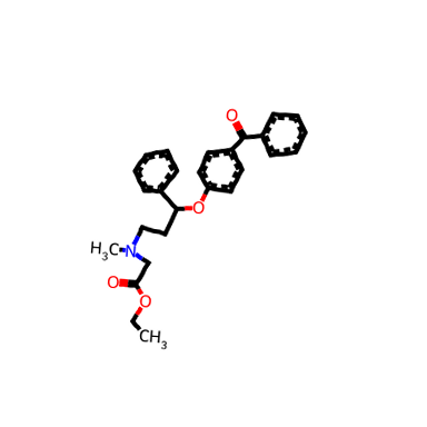 CCOC(=O)CN(C)CCC(Oc1ccc(C(=O)c2ccccc2)cc1)c1ccccc1